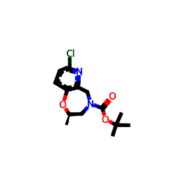 C[C@@H]1CN(C(=O)OC(C)(C)C)Cc2nc(Cl)ccc2O1